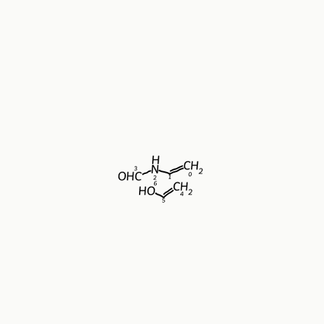 C=CNC=O.C=CO